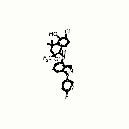 CC1(C)CC(O)(C(F)(F)F)C(Nc2cccc3c2cnn3-c2ccc(F)nc2)c2ccc(Cl)c(O)c21